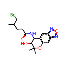 CC(CBr)CCC(=O)NC1c2cc3nonc3cc2OC(C)(C)C1O